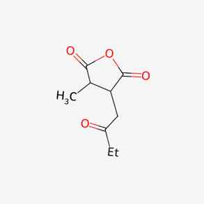 CCC(=O)CC1C(=O)OC(=O)C1C